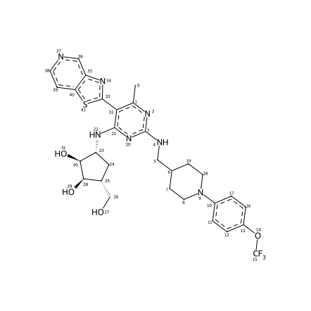 Cc1nc(NCC2CCN(c3ccc(OC(F)(F)F)cc3)CC2)nc(N[C@@H]2C[C@H](CO)[C@@H](O)[C@H]2O)c1-c1nc2cnccc2s1